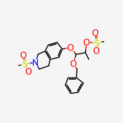 CC(OS(C)(=O)=O)C(OCc1ccccc1)Oc1ccc2c(c1)CCN(S(C)(=O)=O)C2